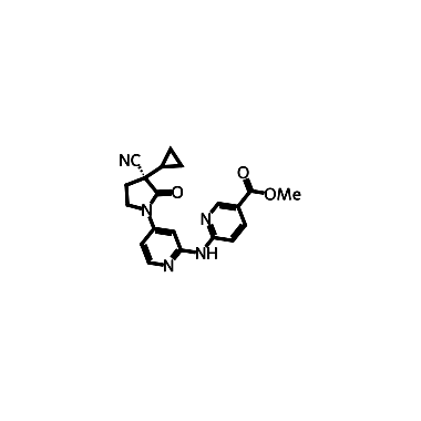 COC(=O)c1ccc(Nc2cc(N3CC[C@@](C#N)(C4CC4)C3=O)ccn2)nc1